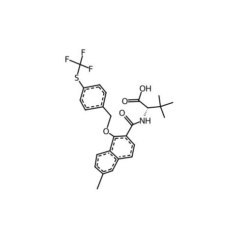 Cc1ccc2c(OCc3ccc(SC(F)(F)F)cc3)c(C(=O)N[C@H](C(=O)O)C(C)(C)C)ccc2c1